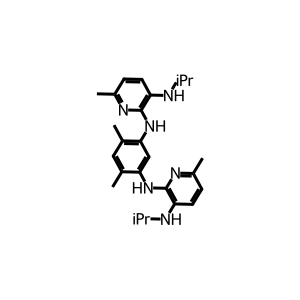 Cc1ccc(NC(C)C)c(Nc2cc(Nc3nc(C)ccc3NC(C)C)c(C)cc2C)n1